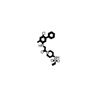 C=CS(=O)(=O)NC1CCN(C(=O)CNc2cc(-c3ccccc3)c(Cl)cc2C)CC1